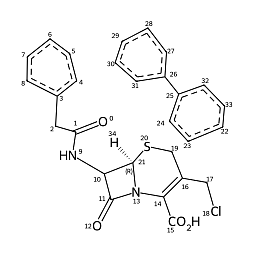 O=C(Cc1ccccc1)NC1C(=O)N2C(C(=O)O)=C(CCl)CS[C@H]12.c1ccc(-c2ccccc2)cc1